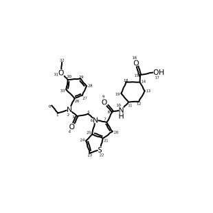 CCN(C(=O)Cn1c(C(=O)NC2CCC(C(=O)O)CC2)cc2sccc21)c1cccc(OC)c1